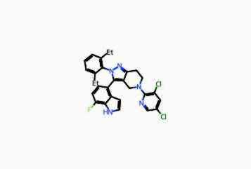 CCc1cccc(CC)c1-n1nc2c(c1-c1ccc(F)c3[nH]ccc13)CN(c1ncc(Cl)cc1Cl)CC2